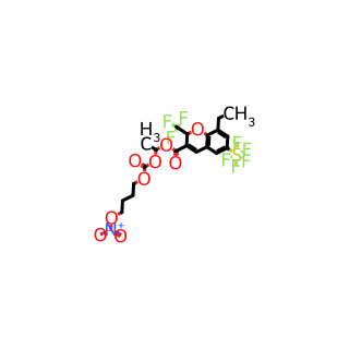 CCc1cc(S(F)(F)(F)(F)F)cc2c1OC(C(F)(F)F)C(C(=O)OC(C)OC(=O)OCCCCO[N+](=O)[O-])=C2